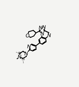 C[C@@H]1CN(c2ccc(-c3ccc4ncc5nnc(C6CCOCC6)n5c4c3)cn2)C[C@H](C)N1C